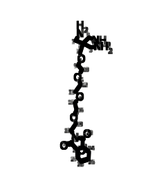 NCC(CN)(CN)COCCOCCOCCOCCN1C(=O)C2C3C=CC(O3)C2C1=O